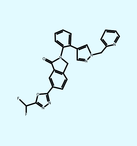 O=C1c2cc(-c3nnc(C(F)F)o3)ccc2CN1c1ccccc1-c1cnn(Cc2ccccn2)c1